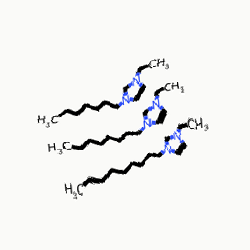 CCCCCCCCCN1C=CN(CC)C1.CCCCCCCCN1C=CN(CC)C1.CCCCCCCN1C=CN(CC)C1